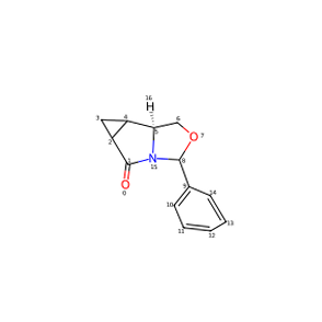 O=C1C2CC2[C@H]2COC(c3ccccc3)N12